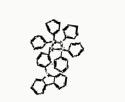 c1ccc(N2[Si](c3ccccc3)(c3ccccc3)N(c3cccc(-n4c5ccccc5c5ccccc54)n3)[Si]2(c2ccccc2)c2ccccc2)cc1